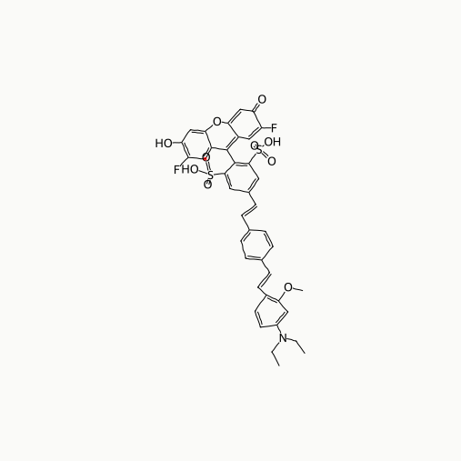 CCN(CC)c1ccc(/C=C/c2ccc(/C=C/c3cc(S(=O)(=O)O)c(-c4c5cc(F)c(=O)cc-5oc5cc(O)c(F)cc45)c(S(=O)(=O)O)c3)cc2)c(OC)c1